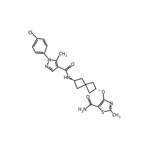 Cc1nc(O[C@H]2CC3(C[C@H](NC(=O)c4cnn(-c5ccc(Cl)cc5)c4C)C3)C2)c(C(N)=O)s1